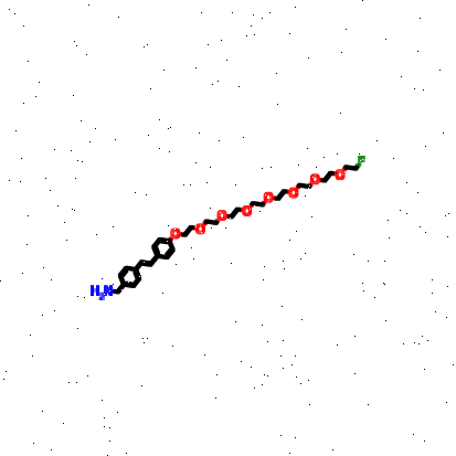 NCc1ccc(/C=C/c2ccc(OCCOCCOCCOCCOCCOCCOCCOCCF)cc2)cc1